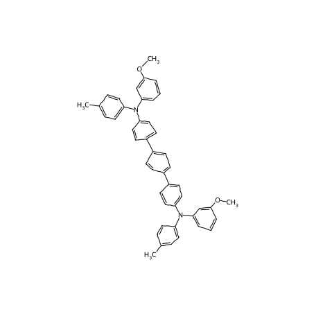 COc1cccc(N(c2ccc(C)cc2)c2ccc(-c3ccc(-c4ccc(N(c5ccc(C)cc5)c5cccc(OC)c5)cc4)cc3)cc2)c1